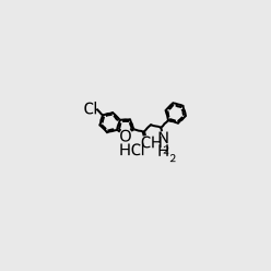 C=C(CC(N)c1ccccc1)c1cc2cc(Cl)ccc2o1.Cl